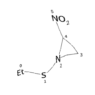 CCSN1CC1[N+](=O)[O-]